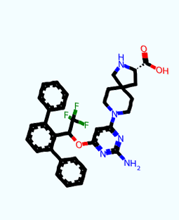 Nc1nc(OC(c2c(-c3ccccc3)cccc2-c2ccccc2)C(F)(F)F)cc(N2CCC3(CC2)CN[C@H](C(=O)O)C3)n1